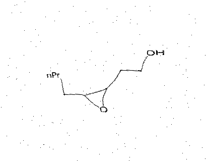 CCCCC1OC1CCO